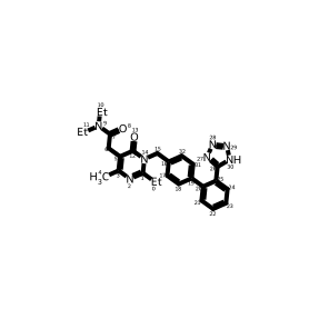 CCc1nc(C)c(CC(=O)N(CC)CC)c(=O)n1Cc1ccc(-c2ccccc2-c2nnn[nH]2)cc1